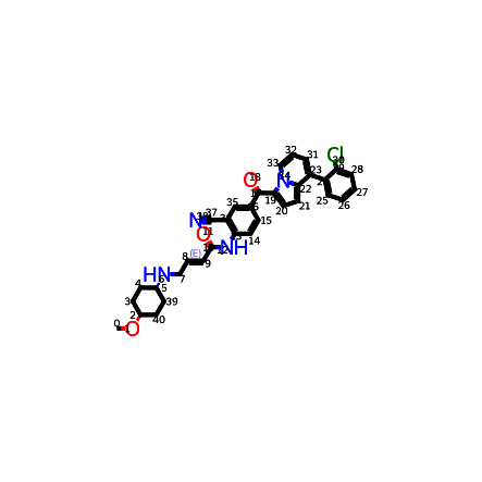 CO[C@H]1CC[C@H](NC/C=C/C(=O)Nc2ccc(C(=O)c3ccc4c(-c5ccccc5Cl)cccn34)cc2C#N)CC1